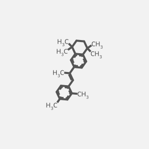 C/C(=C\c1ccc(C)cc1C)c1ccc2c(c1)C(C)(C)CCC2(C)C